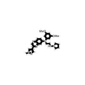 COc1cc(OC)cc(N(CCNN2CCCC2)c2ccc3ncc(-c4cnn(C)c4)nc3c2)c1